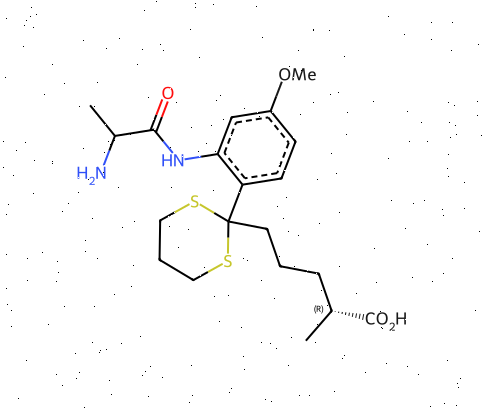 COc1ccc(C2(CCC[C@@H](C)C(=O)O)SCCCS2)c(NC(=O)C(C)N)c1